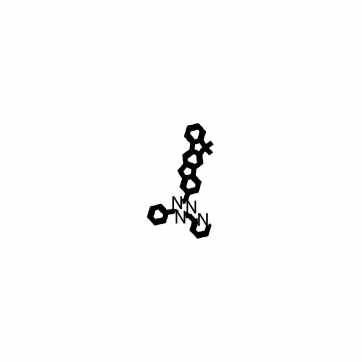 CC1(C)c2ccccc2-c2cc3c(cc21)-c1ccc(-c2nc(-c4ccccc4)nc(-c4ccccn4)n2)cc1C3